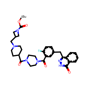 CC(C)(C)OC(=O)N1CC(CN2CCC(C(=O)N3CCN(C(=O)c4cc(Cc5n[nH]c(=O)c6ccccc56)ccc4F)CC3)CC2)C1